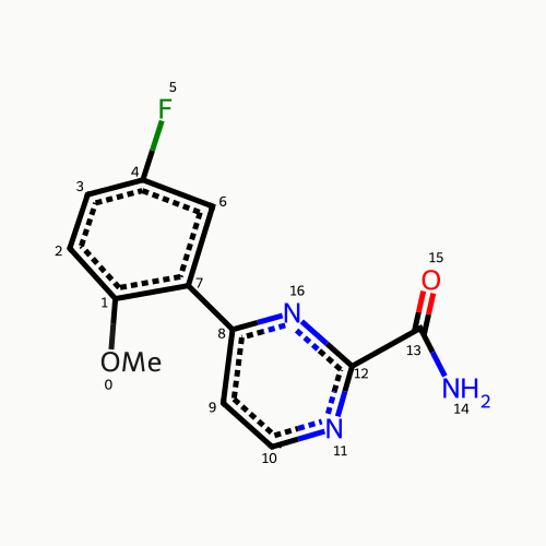 COc1ccc(F)cc1-c1c[c]nc(C(N)=O)n1